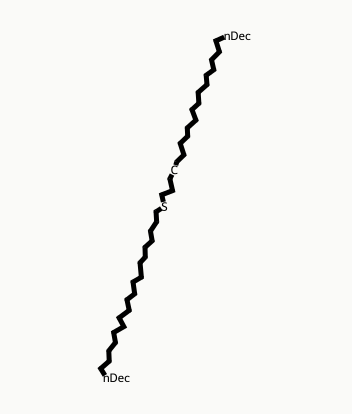 CCCCCCCCCCCCCCCCCCCCCCCCCCCCCSCCCCCCCCCCCCCCCCCCCCCCCCCCCCC